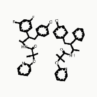 CC(NC(=O)C(C)(C)Oc1ccccn1)C(Cc1ccc(Cl)cc1)c1cc(F)cc(F)c1.CC(NC(=O)C(C)(C)Oc1ccccn1)C(Cc1ccc(Cl)cc1)c1ccccc1